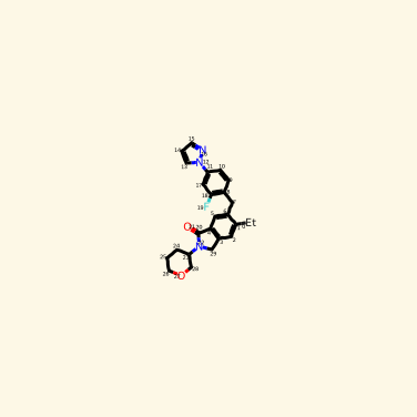 CCc1cc2c(cc1Cc1ccc(-n3cccn3)cc1F)C(=O)N(C1CCCOC1)C2